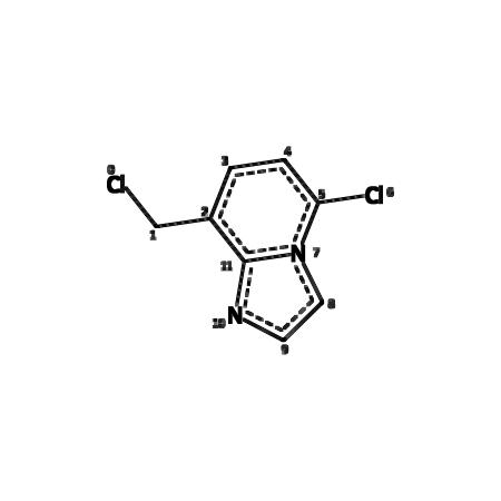 ClCc1ccc(Cl)n2ccnc12